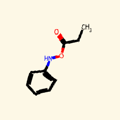 CCC(=O)ONc1ccccc1